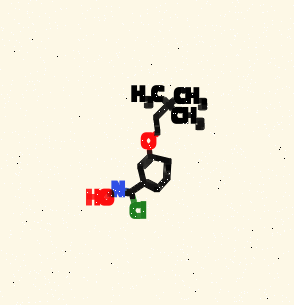 CC(C)(C)CCOc1cccc(C(Cl)=NO)c1